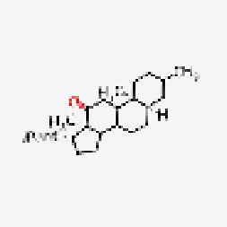 CCC[C@@H](C)C1CCC2C3CC[C@@H]4C[C@H](C)CC[C@]4(C)C3CC(=O)[C@@]21C